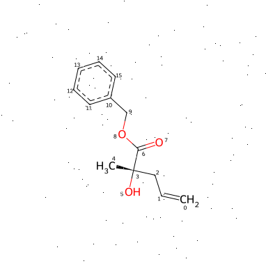 C=CC[C@](C)(O)C(=O)OCc1ccccc1